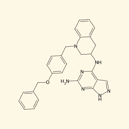 Nc1nc(NC2Cc3ccccc3N(Cc3ccc(OCc4ccccc4)cc3)C2)c2cn[nH]c2n1